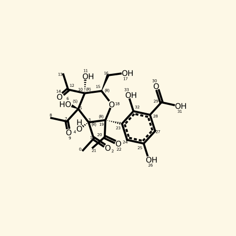 CC(=O)[C@@]1(O)[C@](O)(C(C)=O)[C@@](O)(C(C)=O)[C@@H](CO)O[C@]1(C(C)=O)c1cc(O)cc(C(=O)O)c1O